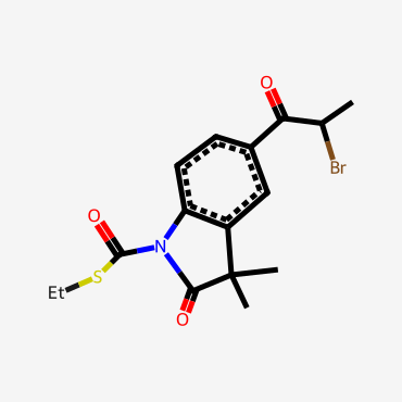 CCSC(=O)N1C(=O)C(C)(C)c2cc(C(=O)C(C)Br)ccc21